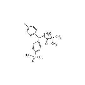 CC(C)(C)[S@@+]([O-])N[C@H](c1ccc(F)cc1)c1ccc(P(C)(C)=O)cc1